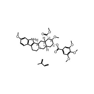 C=CC(=C)C.COC(=O)[C@H]1[C@H]2C[C@@H]3c4[nH]c5cc(OC)ccc5c4CCN3C[C@H]2C[C@@H](OC(=O)c2cc(OC)c(OC)c(OC)c2)[C@@H]1OC